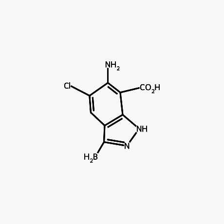 Bc1n[nH]c2c(C(=O)O)c(N)c(Cl)cc12